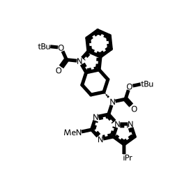 CNc1nc(N(C(=O)OC(C)(C)C)[C@@H]2CCc3c(c4ccccc4n3C(=O)OC(C)(C)C)C2)n2ncc(C(C)C)c2n1